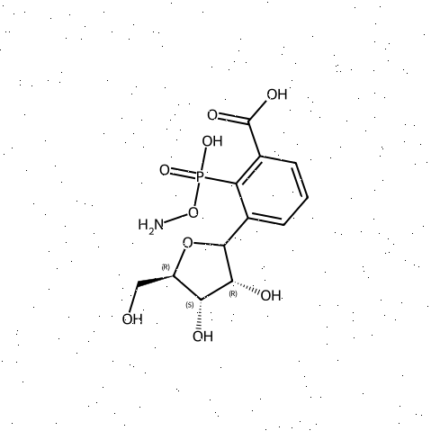 NOP(=O)(O)c1c(C(=O)O)cccc1C1O[C@H](CO)[C@@H](O)[C@H]1O